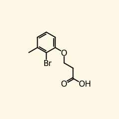 Cc1cccc(OCCC(=O)O)c1Br